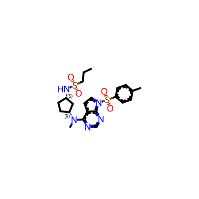 CCCS(=O)(=O)N[C@H]1CC[C@@H](N(C)c2ncnc3c2ccn3S(=O)(=O)c2ccc(C)cc2)C1